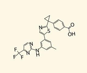 Cc1cc(Nc2nccc(C(F)(F)F)n2)cc(-c2cnc(C3(c4ccc(C(=O)O)cc4)CC3)s2)c1